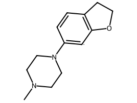 CN1CCN(c2[c]c3c(cc2)CCO3)CC1